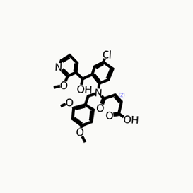 COc1ccc(CN(C(=O)/C=C\C(=O)O)c2ccc(Cl)cc2C(O)c2cccnc2OC)c(OC)c1